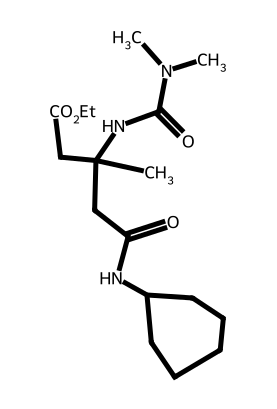 CCOC(=O)CC(C)(CC(=O)NC1CCCCC1)NC(=O)N(C)C